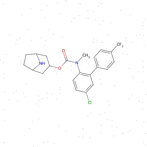 CN(C(=O)OC1CC2CCC(C1)N2)c1ccc(Cl)cc1-c1ccc(C(F)(F)F)cc1